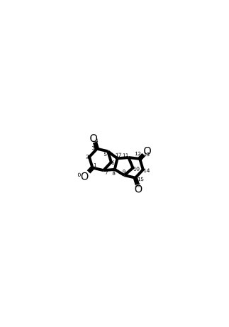 O=C1CC(=O)C2CC1C1C3CC(C(=O)CC3=O)C21